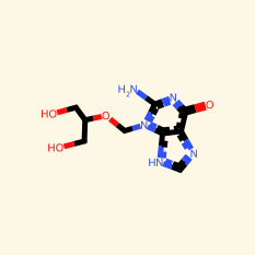 Nc1nc(=O)c2nc[nH]c2n1COC(CO)CO